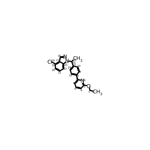 CCOc1cccc(-c2ccc(C(C)n3ncc4c(Cl)cccc43)cc2)n1